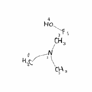 CN(C)C.OF